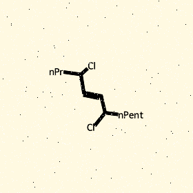 CCCCCC(Cl)C=CC(Cl)CCC